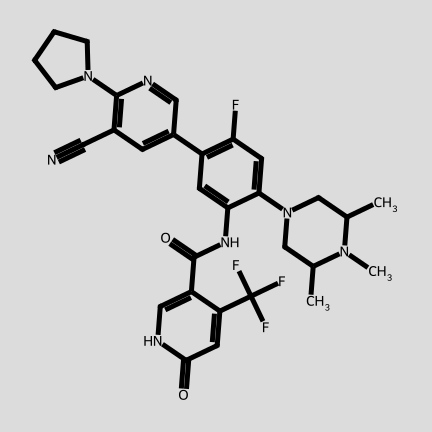 CC1CN(c2cc(F)c(-c3cnc(N4CCCC4)c(C#N)c3)cc2NC(=O)c2c[nH]c(=O)cc2C(F)(F)F)CC(C)N1C